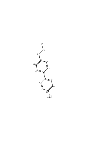 [CH2]CCc1ccc(-c2ccc(Cl)cc2)nn1